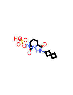 O=C(NC1CC2(CCC2)C1)C1CCC2CN1C(=O)N2OS(=O)(=O)O